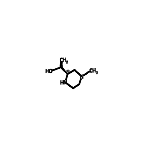 C=C(O)[C@H]1CN(C)CCN1